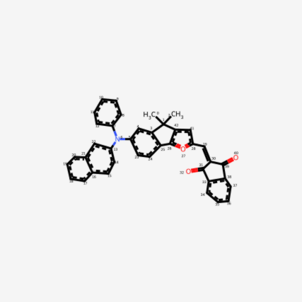 CC1(C)c2cc(N(c3ccccc3)c3ccc4ccccc4c3)ccc2-c2oc(C=C3C(=O)c4ccccc4C3=O)cc21